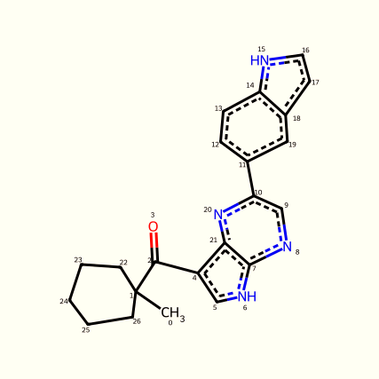 CC1(C(=O)c2c[nH]c3ncc(-c4ccc5[nH]ccc5c4)nc23)CCCCC1